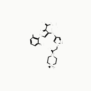 NC(=O)c1nn(-c2c(Cl)cccc2Cl)cc1Nc1cnn(CC(=O)N2CCS(=O)(=O)CC2)c1